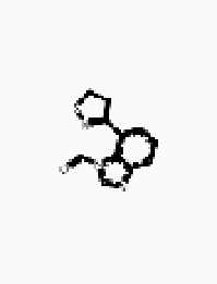 O=Cn1cnc2cccc(C3=NSCC3)c21